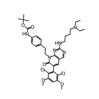 CCN(CC)CCCCNc1ncc2cc(-c3c(Cl)c(OC)cc(OC)c3Cl)c(=O)n(CCc3ccc(NC(=O)OC(C)(C)C)cc3)c2n1